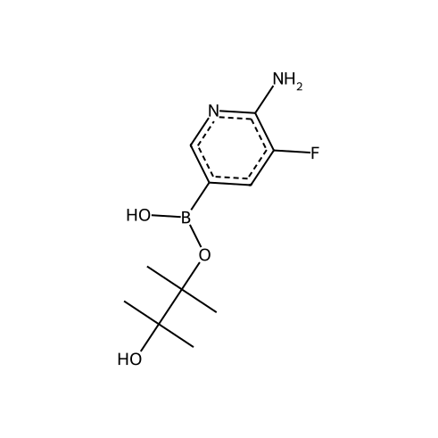 CC(C)(O)C(C)(C)OB(O)c1cnc(N)c(F)c1